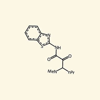 CCCC(NC)C(=O)C(=O)Nc1nc2ccccc2s1